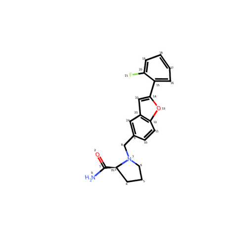 NC(=O)[C@@H]1CCCN1Cc1ccc2oc(-c3ccccc3F)cc2c1